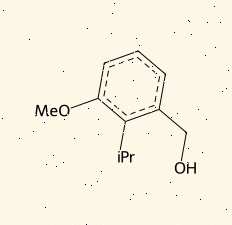 COc1cccc(CO)c1C(C)C